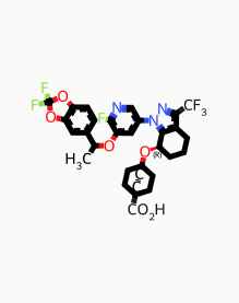 CC(Oc1cc(-n2nc(C(F)(F)F)c3c2[C@H](OC24CCC(C(=O)O)(CC2)CC4)CCC3)cnc1F)c1ccc2c(c1)OC(F)(F)O2